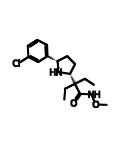 CCC(CC)(C(=O)NOC)[C@H]1CC[C@@H](c2cccc(Cl)c2)N1